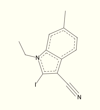 CCn1c(I)c(C#N)c2ccc(C)cc21